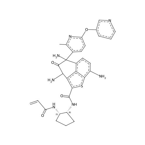 C=CC(=O)N[C@H]1CCC[C@H]1NC(=O)c1sc2c(N)ccc3c2c1C(N)C(=O)C3(N)c1ccc(Oc2cccnc2)nc1C